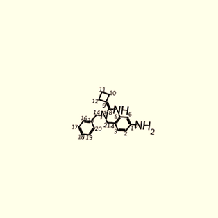 Nc1ccc2c(c1)NC(=C1CCC1)N(Cc1ccccc1)C2